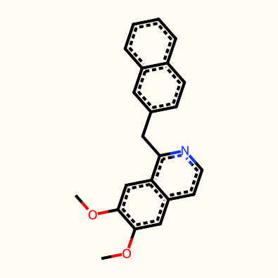 COc1cc2ccnc(Cc3ccc4ccccc4c3)c2cc1OC